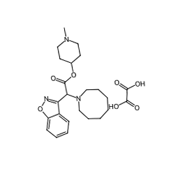 CN1CCC(OC(=O)C(c2noc3ccccc23)N2CCCCCCC2)CC1.O=C(O)C(=O)O